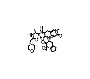 CC(NC(=O)CN1CCOCC1)C(=O)NC(Cc1ccc(=O)n(C)c1)C(=O)NC(CC1=CCCC1)C(=O)C1(C)CO1